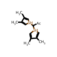 CC(=O)C([SH]1C=C(C)C(C)=C1)[SH]1C=C(C)C(C)=C1